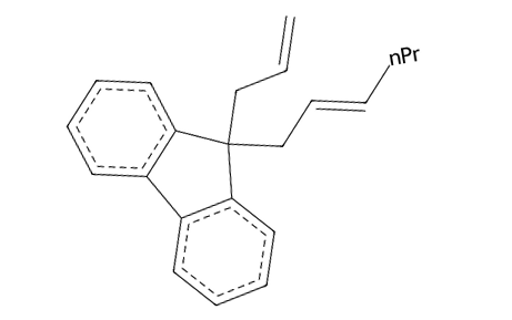 C=CCC1(CC=CCCC)c2ccccc2-c2ccccc21